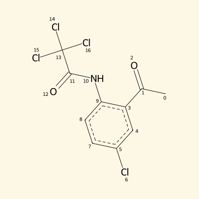 CC(=O)c1cc(Cl)ccc1NC(=O)C(Cl)(Cl)Cl